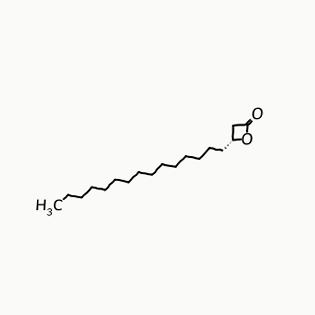 CCCCCCCCCCCCCCC[C@@H]1CC(=O)O1